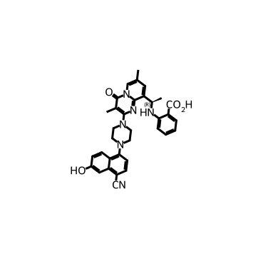 Cc1cc([C@@H](C)Nc2ccccc2C(=O)O)c2nc(N3CCN(c4ccc(C#N)c5cc(O)ccc45)CC3)c(C)c(=O)n2c1